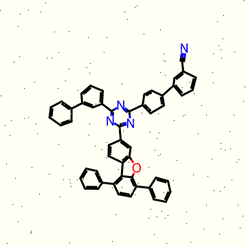 N#Cc1cccc(-c2ccc(-c3nc(-c4cccc(-c5ccccc5)c4)nc(-c4ccc5c(c4)oc4c(-c6ccccc6)ccc(-c6ccccc6)c45)n3)cc2)c1